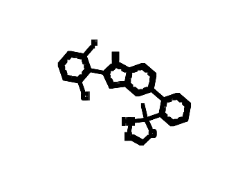 CC1(c2ccccc2-c2ccc3[nH]c(-c4c(F)cccc4Cl)cc3c2)NN=CO1